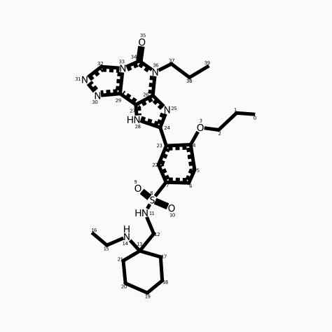 CCCOc1ccc(S(=O)(=O)NCC2(NCC)CCCCC2)cc1-c1nc2c([nH]1)c1nncn1c(=O)n2CCC